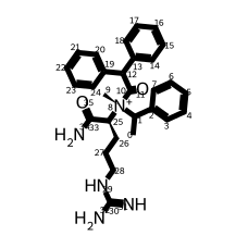 CC(c1ccccc1)[N@@+](C)(C(=O)C(c1ccccc1)c1ccccc1)[C@@H](CCCNC(=N)N)C(N)=O